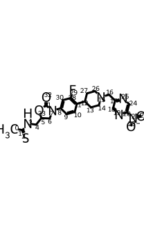 CC(=S)NCC1CN(c2ccc(C3CCN(Cc4cnc([N+](=O)[O-])cn4)CC3)c(F)c2)C(=O)O1